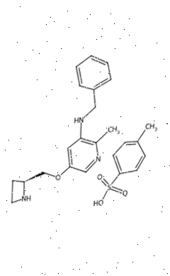 Cc1ccc(S(=O)(=O)O)cc1.Cc1ncc(OC[C@@H]2CCN2)cc1NCc1ccccc1